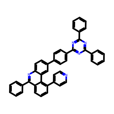 c1ccc(-c2nc(-c3ccccc3)nc(-c3ccc(-c4ccc5nc(-c6ccccc6)c6cccc(-c7ccncc7)c6c5c4)cc3)n2)cc1